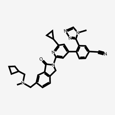 CN(Cc1ccc2c(c1)C(=O)N(c1cc(-c3ccc(C#N)cc3-c3nncn3C)cc(C3CC3)n1)C2)CC1CCC1